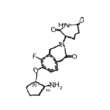 N[C@H]1CCC[C@H]1Oc1ccc2c(c1F)CN(C1CCC(=O)NC1=O)C2=O